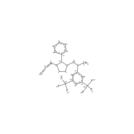 CC(OC1CCC(N=C=O)C1c1ccccc1)c1cc(C(F)(F)F)cc(C(F)(F)F)c1